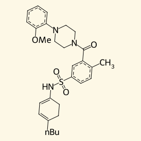 CCCCC1=CC=C(NS(=O)(=O)c2ccc(C)c(C(=O)N3CCN(c4ccccc4OC)CC3)c2)CC1